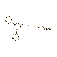 CCCCCCCCCCCCCCCCCc1cc(-c2ccccc2)cc(-c2ccccc2)c1